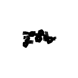 N#Cc1ccc(-n2c3ccccc3c3c(-c4nc5ccc(F)cc5[nH]4)cccc32)cc1NCCC1(O)CCCC1